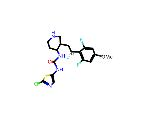 COc1cc(F)c([C@H](F)CC2CNCCC2NC(=O)Nc2cnc(Cl)s2)c(F)c1